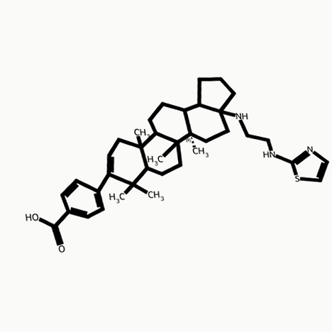 CC1(C)C(c2ccc(C(=O)O)cc2)=CCC2(C)C1CCC1(C)C2CCC2C3CCCC3(NCCNc3nccs3)CC[C@]21C